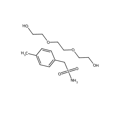 Cc1ccc(CS(N)(=O)=O)cc1.OCCOCCOCCO